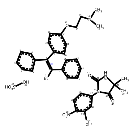 CC/C(=C(\c1ccccc1)c1ccc(OCCN(C)C)cc1)c1ccccc1.CC1(C)NC(=O)N(c2ccc([N+](=O)[O-])c(C(F)(F)F)c2)C1=O.O=S(=O)(O)O